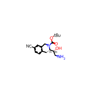 CC(C)(C)OC(=O)N1Cc2cc(C#N)ccc2C[C@H]1[C@H](O)CN